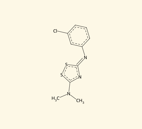 CN(C)c1nc(=Nc2cccc(Cl)c2)ss1